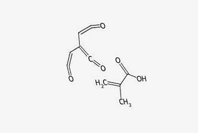 C=C(C)C(=O)O.O=C=CC(=C=O)C=C=O